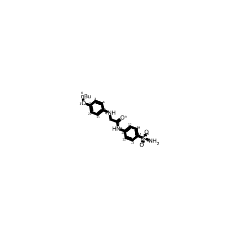 CCCCOc1ccc(NCC(=O)Nc2ccc(S(N)(=O)=O)cc2)cc1